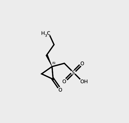 CCC[C@]1(CS(=O)(=O)O)CC1=O